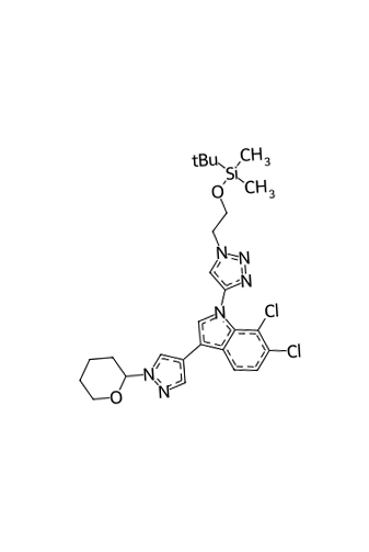 CC(C)(C)[Si](C)(C)OCCn1cc(-n2cc(-c3cnn(C4CCCCO4)c3)c3ccc(Cl)c(Cl)c32)nn1